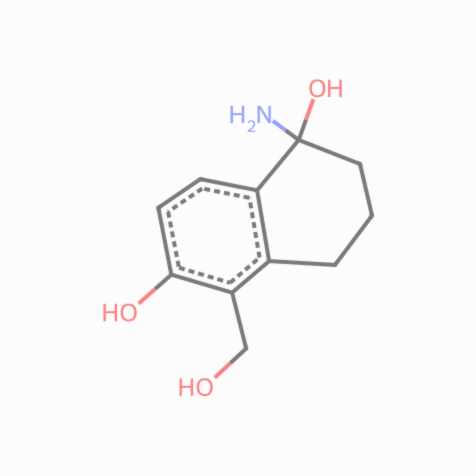 NC1(O)CCCc2c1ccc(O)c2CO